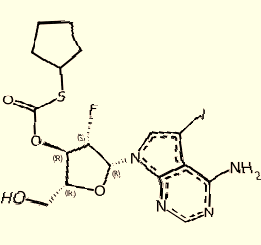 Nc1ncnc2c1c(I)cn2[C@@H]1O[C@H](CO)[C@@H](OC(=O)SC2CCCC2)[C@@H]1F